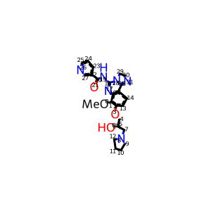 COc1c(OC[C@H](O)CN2CCCC2)ccc2c1N=C(NC(=O)c1cccnc1)N1CCN=C21